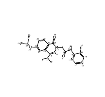 CC(C)c1nn(CC(=O)Nc2ncncc2F)c(=O)c2ccc(OC(F)F)cc12